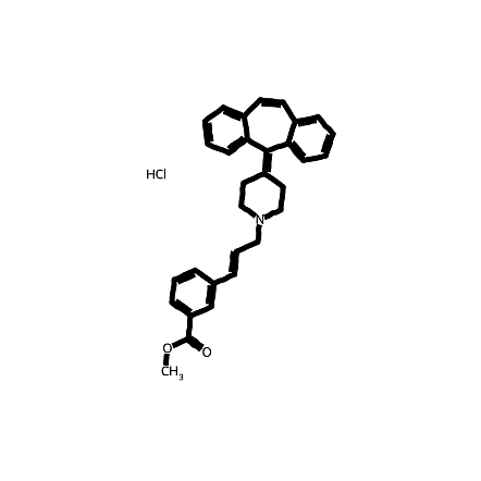 COC(=O)c1cccc(C=CCN2CCC(=C3c4ccccc4C=Cc4ccccc43)CC2)c1.Cl